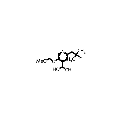 COCOc1cnc(CC(C)(C)F)cc1C(C)O